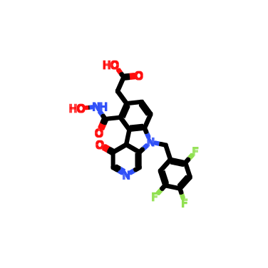 O=C(O)Cc1ccc2c(c1C(=O)NO)C1C(=O)C=NC=C1N2Cc1cc(F)c(F)cc1F